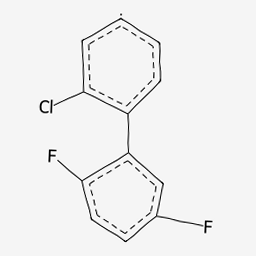 Fc1ccc(F)c(-c2cc[c]cc2Cl)c1